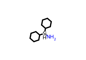 N[SiH](C1CCCCC1)C1CCCCC1